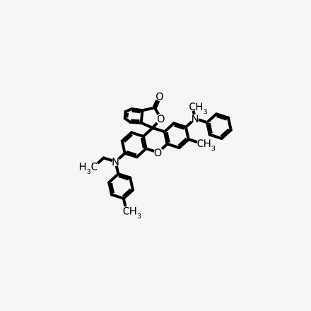 CCN(c1ccc(C)cc1)c1ccc2c(c1)Oc1cc(C)c(N(C)c3ccccc3)cc1C21OC(=O)c2ccccc21